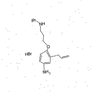 Br.C=CCc1cc(N)ccc1OCCCNC(C)C